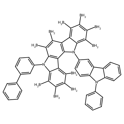 Bc1c(B)c(B)c2c(c1B)c1c(c(B)c(B)c3c4c(B)c(B)c(B)c(B)c4n(-c4ccc5c(c4)c4ccccc4n5-c4ccccc4)c31)n2-c1cccc(-c2ccccc2)c1